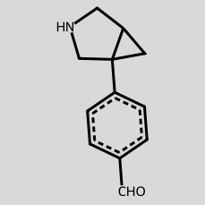 O=Cc1ccc(C23CNCC2C3)cc1